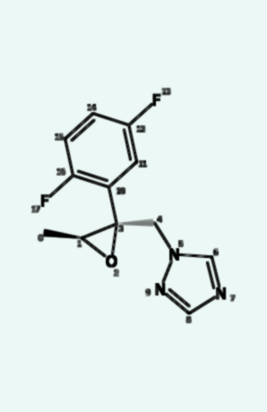 C[C@@H]1O[C@]1(Cn1cncn1)c1cc(F)ccc1F